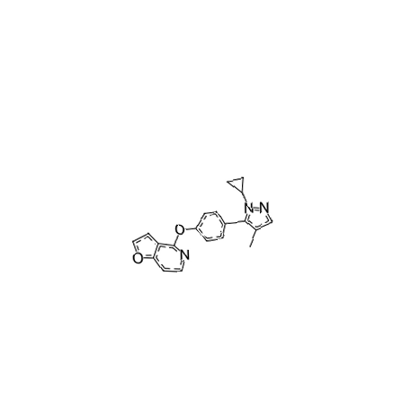 Cc1cnn(C2CC2)c1-c1ccc(Oc2nccc3occc23)cc1